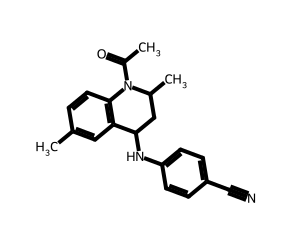 CC(=O)N1c2ccc(C)cc2C(Nc2ccc(C#N)cc2)CC1C